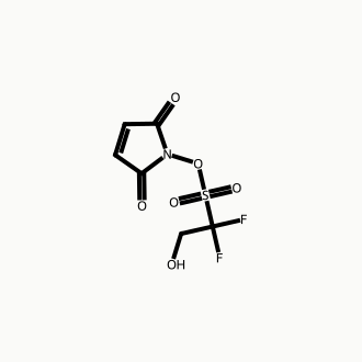 O=C1C=CC(=O)N1OS(=O)(=O)C(F)(F)CO